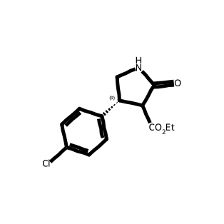 CCOC(=O)C1C(=O)NC[C@H]1c1ccc(Cl)cc1